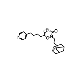 CCC(=O)N(CCC12CC3CC(CC(C3)C1)C2)OC(=O)CCCCc1ccncc1